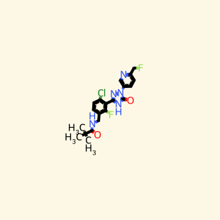 CC(C)(C)C(=O)NCc1ccc(Cl)c(-c2nn(-c3ccc(CF)nc3)c(=O)[nH]2)c1F